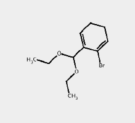 CCOC(OCC)C1=CCCC=C1Br